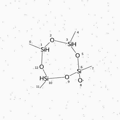 C[SiH]1O[SiH](C)O[Si](C)([O])O[SiH](C)O1